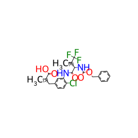 C[C@H](C(NC(=O)OCc1ccccc1)C(=O)Nc1cc(C[C@H](C)C(=O)O)ccc1Cl)C(F)(F)F